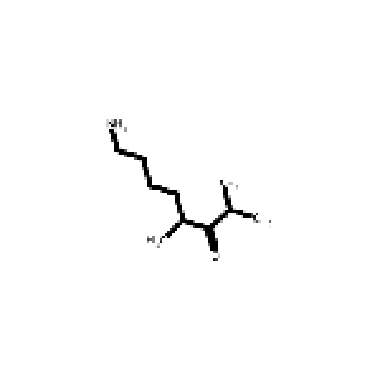 CC(C)C(=O)C(C)CCCCN